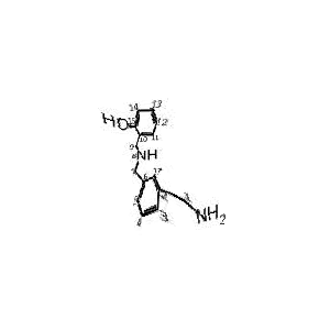 NCc1cccc(CNCc2ccccc2O)c1